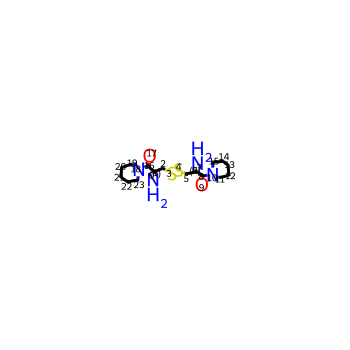 N[C@@H](CSSC[C@H](N)C(=O)N1CCCCC1)C(=O)N1CCCCC1